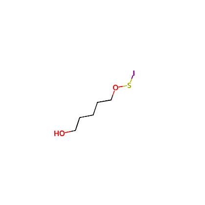 OCCCCCOSI